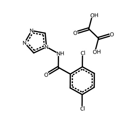 O=C(Nn1cnnc1)c1cc(Cl)ccc1Cl.O=C(O)C(=O)O